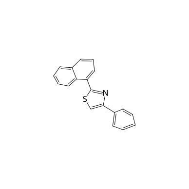 c1ccc(-c2csc(-c3cccc4ccccc34)n2)cc1